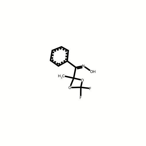 CC1(C(=NO)c2ccccc2)OC(F)(F)O1